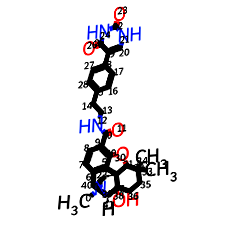 CN1CC[C@]23c4c5ccc(C(=O)NCCc6ccc(-c7c[nH]c(=O)[nH]c7=O)cc6)c4OC2C(C)(C)CC[C@@]3(O)[C@H]1C5